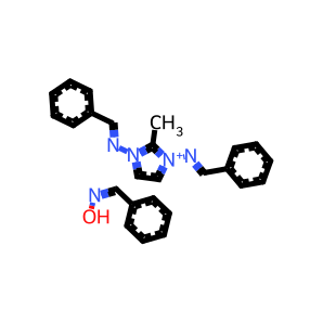 Cc1n(/N=C/c2ccccc2)cc[n+]1/N=C/c1ccccc1.O/N=C\c1ccccc1